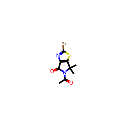 CC(=O)N1C(=O)c2nc(Br)sc2C1(C)C